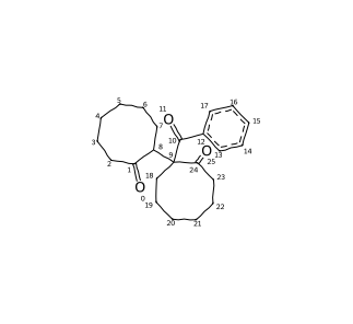 O=C1CCCCCCC1C1(C(=O)c2ccccc2)CCCCCCC1=O